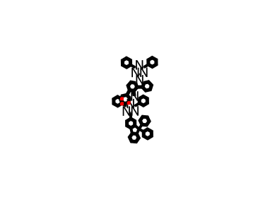 c1ccc(-c2nc(-c3ccc4c(c3)C(c3ccccc3)(c3ccccc3)c3ccccc3-4)nc(-c3ccccc3-n3c4ccccc4c4ccc5c(c6ccccc6n5-c5nc(-c6ccccc6)nc(-c6ccccc6)n5)c43)n2)cc1